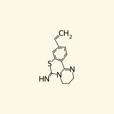 C=Cc1ccc2c(c1)SC(=N)N1CCCN=C21